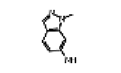 Cn1ncc2ccc([NH])cc21